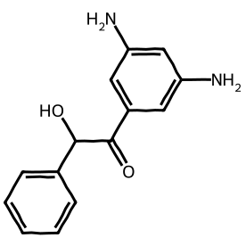 Nc1cc(N)cc(C(=O)C(O)c2ccccc2)c1